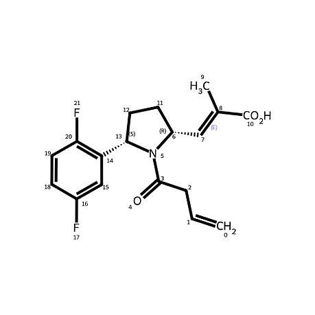 C=CCC(=O)N1[C@@H](/C=C(\C)C(=O)O)CC[C@H]1c1cc(F)ccc1F